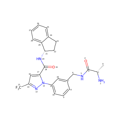 C[C@H](N)C(=O)NCc1cccc(-n2nc(C(F)(F)F)cc2C(=O)N[C@H]2CCc3ccccc32)c1